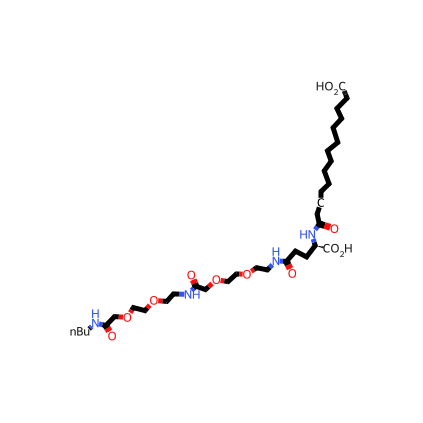 CCCCNC(=O)COCCOCCNC(=O)COCCOCCNC(=O)CC[C@H](NC(=O)CCCCCCCCCCCCC(=O)O)C(=O)O